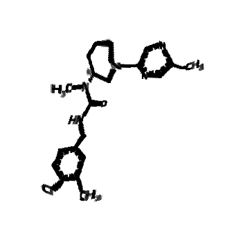 Cc1cnc(N2CCC[C@@H](N(C)C(=O)NCc3ccc(Cl)c(C)c3)C2)cn1